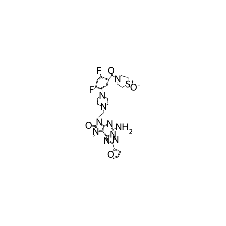 Cn1c(=O)n(CCN2CCN(c3cc(C(=O)N4CC[S+]([O-])CC4)c(F)cc3F)CC2)c2nc(N)n3nc(-c4ccco4)nc3c21